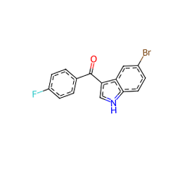 O=C(c1ccc(F)cc1)c1c[nH]c2ccc(Br)cc12